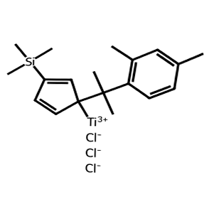 Cc1ccc(C(C)(C)[C]2([Ti+3])C=CC([Si](C)(C)C)=C2)c(C)c1.[Cl-].[Cl-].[Cl-]